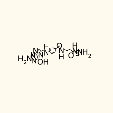 NSNC(=O)CCCNC(=O)c1ccc(NCc2cnc3nc(N)nc(O)c3n2)cc1